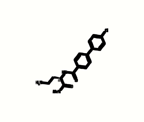 CNC(=O)[C@H](CCN)NC(=O)c1ccc(-c2ccc(Cl)cc2)cc1